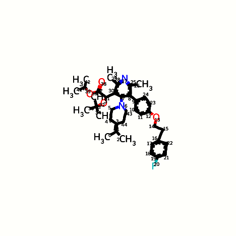 CC(C)=C1CCN(c2c(-c3ccc(OCCc4ccc(F)cc4)cc3)c(C)nc(C)c2C(OC(C)(C)C)C(=O)OC(C)C)CC1